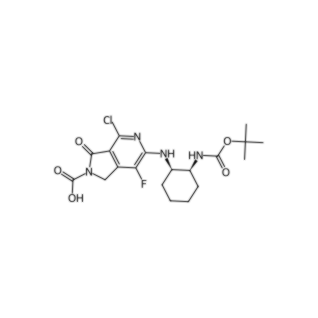 CC(C)(C)OC(=O)N[C@H]1CCCC[C@H]1Nc1nc(Cl)c2c(c1F)CN(C(=O)O)C2=O